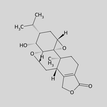 CC(C)[C@@H]1C[C@@H]2O[C@]23[C@]2(O[C@H]2C[C@H]2C4=C(CC[C@@]23C)C(=O)OC4)[C@@H]1O